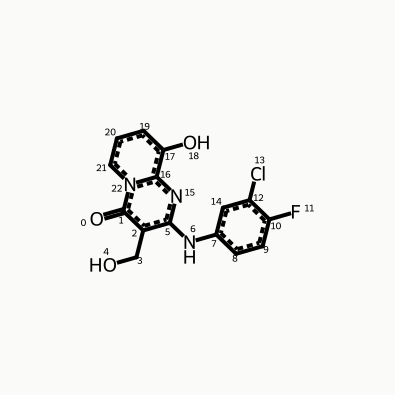 O=c1c(CO)c(Nc2ccc(F)c(Cl)c2)nc2c(O)cccn12